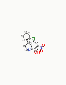 O=[N+]([O-])c1cc(Cl)c2c(-c3ccccc3)ccnc2c1O